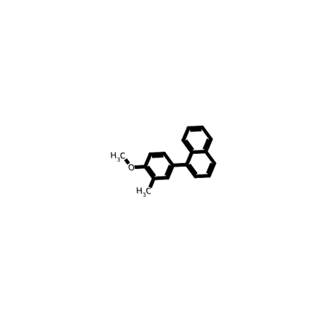 COc1ccc(-c2cccc3ccccc23)cc1C